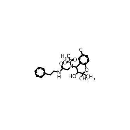 CC1(C)Oc2ccc(Cl)cc2C(N(CC(=O)NCCc2ccccc2)S(C)(=O)=O)C1O